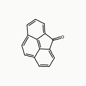 O=c1c2cccc3ccc4cccc1c4c32